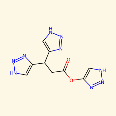 O=C(CC(c1c[nH]nn1)c1c[nH]nn1)Oc1c[nH]nn1